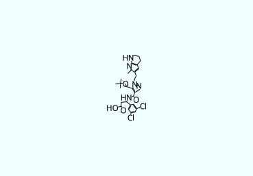 Cc1nc2c(cc1CCn1ncc(C(=O)NC(CC(=O)O)c3cc(Cl)cc(Cl)c3)c1COC(C)(C)C)CCCN2